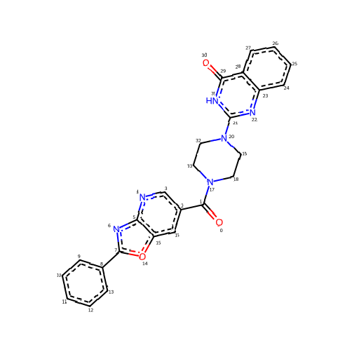 O=C(c1cnc2nc(-c3ccccc3)oc2c1)N1CCN(c2nc3ccccc3c(=O)[nH]2)CC1